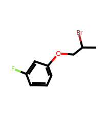 CC(Br)COc1cccc(F)c1